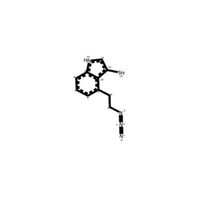 [N-]=[N+]=NCCc1cccc2[nH]cc(S)c12